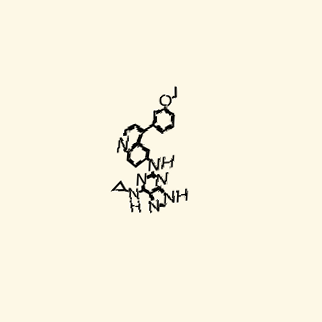 CCOc1cccc(-c2ccnc3ccc(Nc4nc(NC5CC5)c5nc[nH]c5n4)cc23)c1